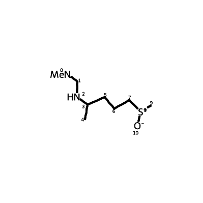 CNCNC(C)CCC[S+](C)[O-]